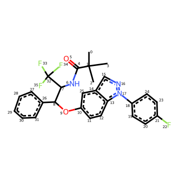 CC(C)(C)C(=O)NC(C(Oc1ccc2c(cnn2-c2ccc(F)cc2)c1)c1ccccc1)C(F)(F)F